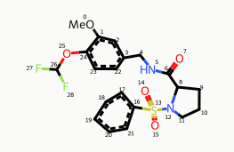 COc1cc(CNC(=O)C2CCCN2S(=O)(=O)c2ccccc2)ccc1OC(F)F